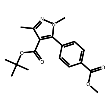 COC(=O)c1ccc(-c2c(C(=O)OC(C)(C)C)c(C)nn2C)cc1